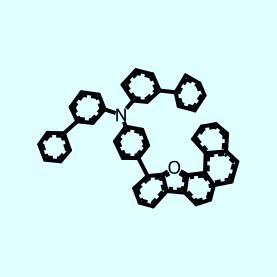 c1ccc(-c2cccc(N(c3ccc(-c4cccc5c4oc4c5ccc5ccc6ccccc6c54)cc3)c3cccc(-c4ccccc4)c3)c2)cc1